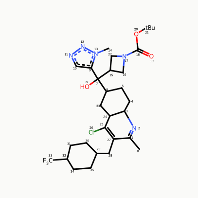 CC1=NC2CCC(C(O)(c3cnnn3C)C3CN(C(=O)OC(C)(C)C)C3)CC2C(Cl)=C1CC1CCC(C(F)(F)F)CC1